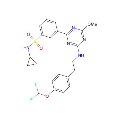 COc1nc(NCCc2ccc(OC(F)F)cc2)nc(-c2cccc(S(=O)(=O)NC3CC3)c2)n1